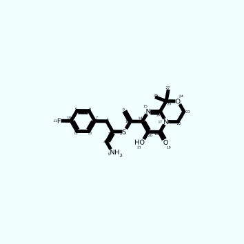 C=C(S/C(=C\N)Cc1ccc(F)cc1)c1nc2n(c(=O)c1O)CCOC2(C)C